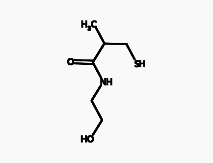 CC(CS)C(=O)NCCO